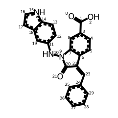 O=C(O)c1ccc2c(c1)N(Nc1ccc3[nH]ccc3c1)C(=O)C2=Cc1ccccc1